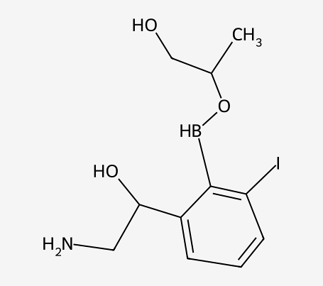 CC(CO)OBc1c(I)cccc1C(O)CN